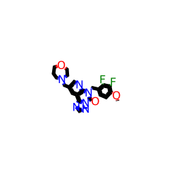 COc1ccc(Cn2c(=O)n3ncnc3c3cc(CN4CCCOCC4)cnc32)c(F)c1F